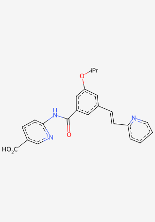 CC(C)Oc1cc(C=Cc2ccccn2)cc(C(=O)Nc2ccc(C(=O)O)cn2)c1